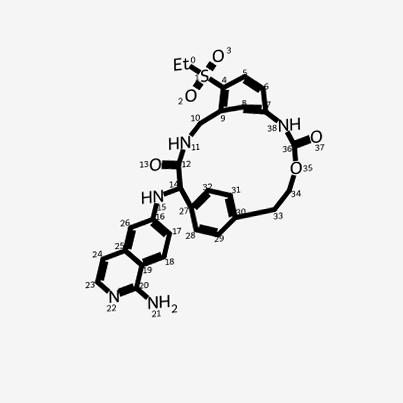 CCS(=O)(=O)c1ccc2cc1CNC(=O)C(Nc1ccc3c(N)nccc3c1)c1ccc(cc1)CCOC(=O)N2